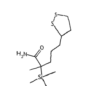 CC(CCCC1CCSS1)(C(N)=O)[Si](C)(C)C